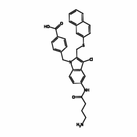 NCCCC(=O)Nc1ccc2c(c1)c(Cl)c(CSc1ccc3ccccc3c1)n2Cc1ccc(C(=O)O)cc1